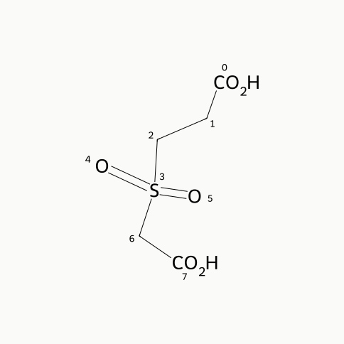 O=C(O)CCS(=O)(=O)CC(=O)O